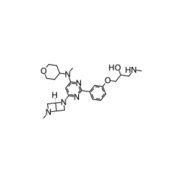 CNCC(O)COc1cccc(-c2nc(N(C)C3CCOCC3)cc(N3CC4[C@H]3CN4C)n2)c1